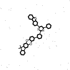 CC1(C)c2ccccc2-c2cc3c(cc21)Oc1ccc(-c2cccc(-c4nc(-c5ccccc5)cc(-c5ccc6c(c5)sc5ccccc56)n4)c2)cc1O3